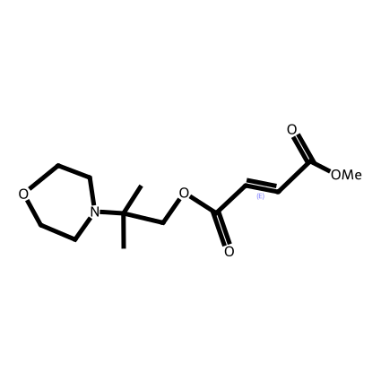 COC(=O)/C=C/C(=O)OCC(C)(C)N1CCOCC1